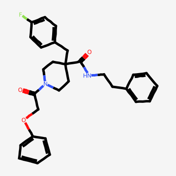 O=C(COc1ccccc1)N1CCC(Cc2ccc(F)cc2)(C(=O)NCCc2ccccc2)CC1